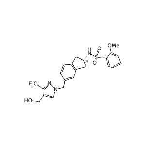 COc1ccccc1S(=O)(=O)N[C@H]1Cc2ccc(Cn3cc(CO)c(C(F)(F)F)n3)cc2C1